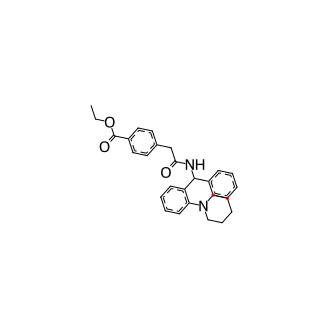 CCOC(=O)c1ccc(CC(=O)NC(c2ccccc2)c2ccccc2N2CCCCC2)cc1